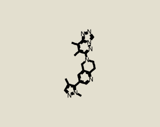 Cc1cnn(C)c1-c1cnc2c(c1)CN(c1nn3cnnc3c(C)c1C)CC2